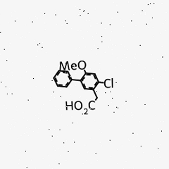 COc1cc(Cl)c(CC(=O)O)cc1-c1ccccc1